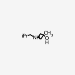 CC(C)CNC1CC(C)(O)C1